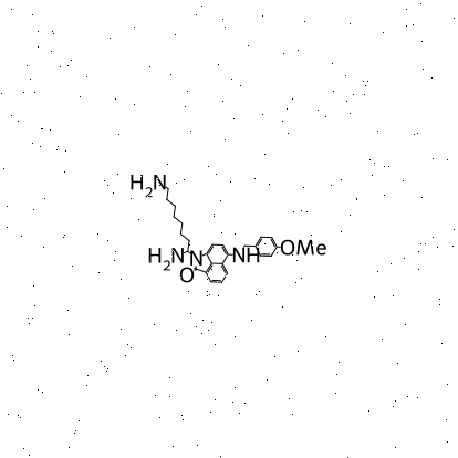 COc1ccc(CNc2ccc3c4c(cccc24)C(=O)N3C(N)CCCCCCCN)cc1